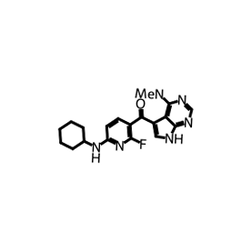 CNc1ncnc2[nH]cc(C(=O)c3ccc(NC4CCCCC4)nc3F)c12